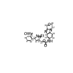 CCn1nc(C2=C(OC)CCC=C2)cc1COC(=O)Nc1ccc2c(c1)nc1n2CCOC1